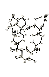 C#C/C=C(\C(C#N)=C/C)N1CCC(Nc2cc(C(=O)N3CCN(c4cccc(F)c4S(C)(=N)=O)CC3)c(C)cc2C)CC1